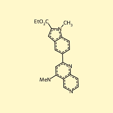 CCOC(=O)c1cc2cc(-c3cc(NC)c4cnccc4n3)ccc2n1C